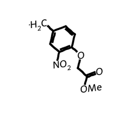 [CH2]c1ccc(OCC(=O)OC)c([N+](=O)[O-])c1